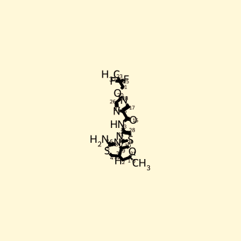 C[C@H]1C[C@H]2CSC(N)=N[C@@]2(c2nc(NC(=O)c3cnc(OCC(C)(F)F)cn3)cs2)CO1